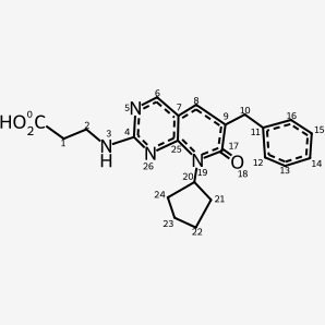 O=C(O)CCNc1ncc2cc(Cc3ccccc3)c(=O)n(C3CCCC3)c2n1